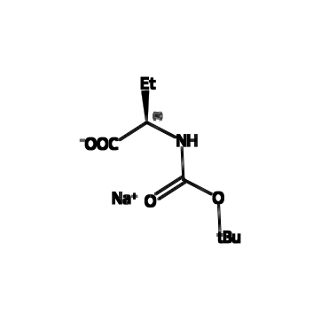 CC[C@@H](NC(=O)OC(C)(C)C)C(=O)[O-].[Na+]